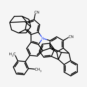 Cc1cccc(C)c1-c1cc2c3c4c(c(C#N)cc3n3c5cc(C#N)c6c(c5c(c1)c23)C12c3ccccc3C6C1c1ccccc12)C1CC2CC(C1)CC4C2